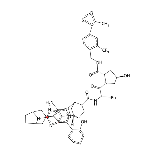 Cc1ncsc1-c1ccc(CNC(=O)[C@@H]2C[C@@H](O)CN2C(=O)[C@@H](NC(=O)C2CC3CCC2C[C@H]3c2cnc(N3C4CCC3CN(c3cc(-c5ccccc5O)nnc3N)C4)nc2)C(C)(C)C)c(C(F)(F)F)c1